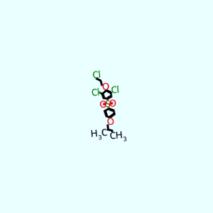 CC[C@@H](C)COc1ccc(S(=O)(=O)c2cc(Cl)c(OCCCCl)c(Cl)c2)cc1